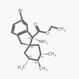 CCOC(=O)[C@]1(N)c2cc(Br)ccc2C[C@@]12C[C@@H](C)[C@H](C)[C@@H](C)C2